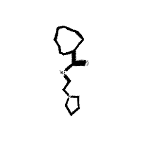 O=C(NCCN1C[CH]CC1)C1CCCCC1